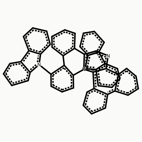 c1ccc(-c2c(-n3c4ccccc4c4ccccc43)cccc2-n2c3ccccc3c3ccccc32)c(-c2cnc3c4ccccc4c4ccccc4c3n2)c1